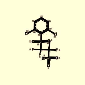 O=S(=O)(Br)C(F)(F)C(F)(F)S(=O)(=O)c1c(Cl)cccc1Cl